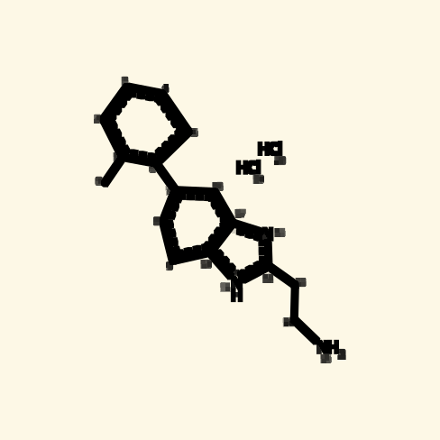 Cc1ccccc1-c1ccc2[nH]c(CCN)nc2c1.Cl.Cl